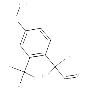 COc1ccc(C(Br)(Br)C=O)c(C(F)(F)F)c1